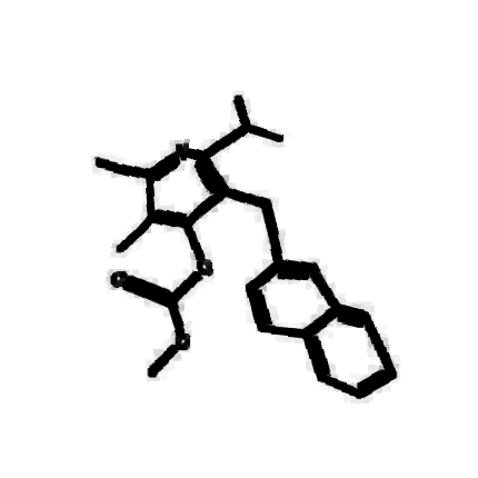 COC(=O)Oc1c(C)c(C)nc(C(C)C)c1Cc1ccc2ccccc2c1